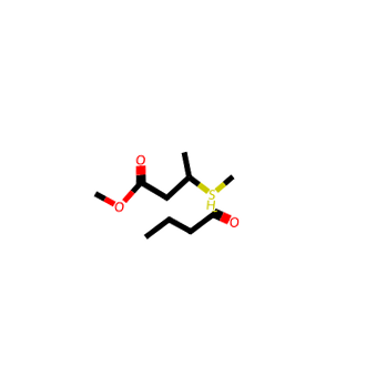 CCCC(=O)[SH](C)C(C)CC(=O)OC